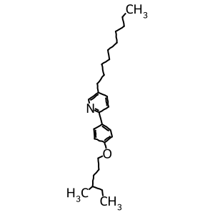 CCCCCCCCCCc1ccc(-c2ccc(OCCCC(C)CC)cc2)nc1